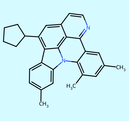 Cc1cc(C)c2c(c1)c1nccc3cc(C4CCCC4)c4c5ccc(C)cc5n2c4c31